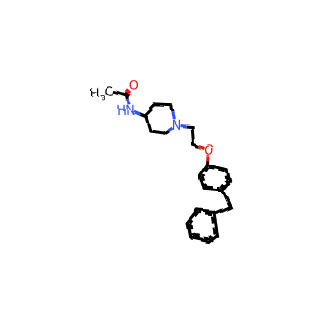 CC(=O)NC1CCN(CCOc2ccc(Cc3ccccc3)cc2)CC1